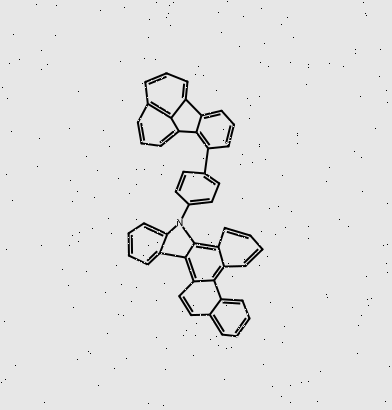 c1cc(-c2ccc(-n3c4ccccc4c4c5ccc6ccccc6c5c5ccccc5c43)cc2)c2c(c1)-c1cccc3cccc-2c13